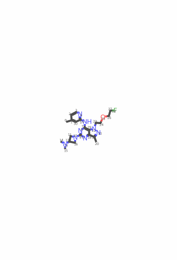 Cc1ccnc(Nc2nc(N3CC(N(C)C)C3)nc3c(C)nn(CCOCCF)c23)c1